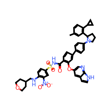 Cc1ccc(C2CC2)c(C2CCCN2c2ccc(-c3ccc(C(=O)NS(=O)(=O)c4ccc(NCC5CCOCC5)c([N+](=O)[O-])c4)c(Oc4cnc5[nH]ccc5c4)c3)cc2)c1